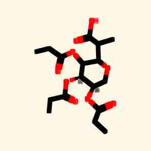 CCC(=O)OC1C(C(C)C(=O)O)OC[C@@H](OC(=O)CC)[C@@H]1OC(=O)CC